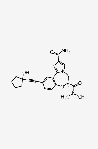 CN(C)C(=O)[C@@H]1Cn2cc(C(N)=O)nc2-c2cc(C#CC3(O)CCCC3)ccc2O1